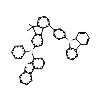 CC1(C)c2cc(N(c3ccccc3)c3cccc4c3oc3ccccc34)ccc2-c2c(-c3ccc(N4c5ccccc5C5C=CC=CC54)cc3)cccc21